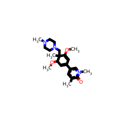 COC1=CC(c2cc(C)c(=O)n(C)c2)=CC(OC)C1(C)CN1CCN(C)CC1